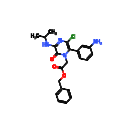 CC(C)Nc1nc(Cl)c(-c2cccc(N)c2)n(CC(=O)OCc2ccccc2)c1=O